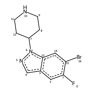 Fc1cc2cnn(C3CCNCC3)c2cc1Br